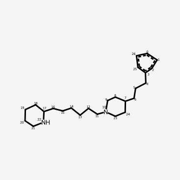 c1ccc(CCCC2CCN(CCCCCCC3CCCCN3)CC2)cc1